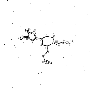 CC(C)(C)CCC1CC(c2cc(=O)[nH]o2)CCN1CC(=O)O